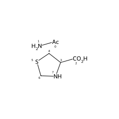 CC(N)=O.O=C(O)C1CSCN1